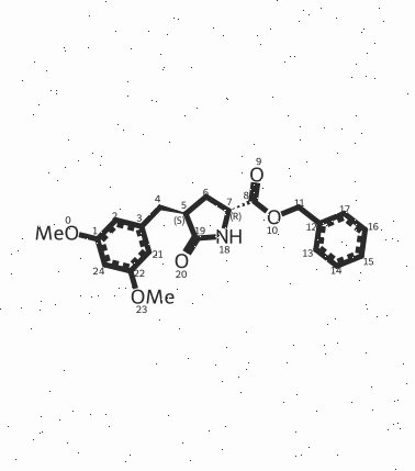 COc1cc(C[C@H]2C[C@H](C(=O)OCc3ccccc3)NC2=O)cc(OC)c1